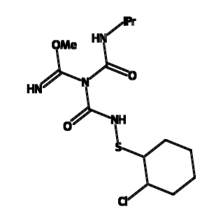 COC(=N)N(C(=O)NSC1CCCCC1Cl)C(=O)NC(C)C